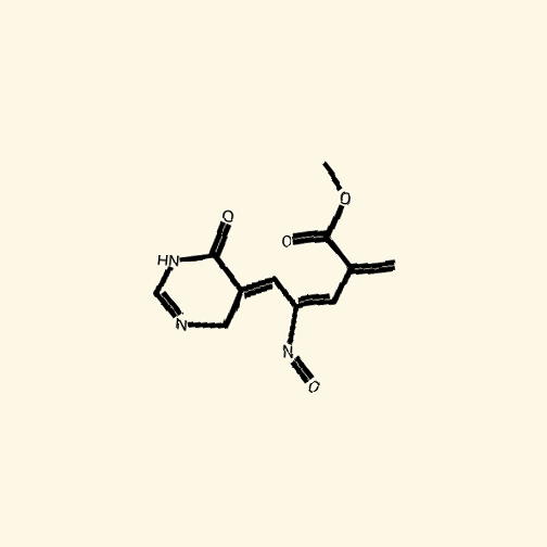 C=C(/C=C(\C=C1/CN=CNC1=O)N=O)C(=O)OC